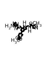 Cc1nnccc1C(=O)NCc1cc2cc(C3=CCN(S(C)(=O)=O)CC3)cc(Cn3cnc4c(N)ncnc43)c2[nH]1